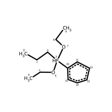 CCC[PH](OCC)(OCC)c1ccccc1